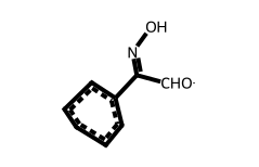 O=[C]C(=NO)c1ccccc1